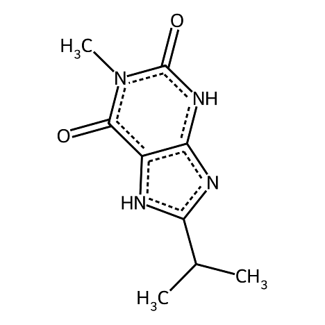 CC(C)c1nc2[nH]c(=O)n(C)c(=O)c2[nH]1